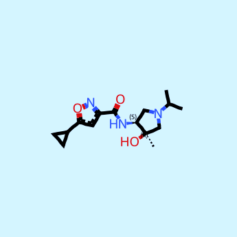 CC(C)N1C[C@H](NC(=O)c2cc(C3CC3)on2)[C@](C)(O)C1